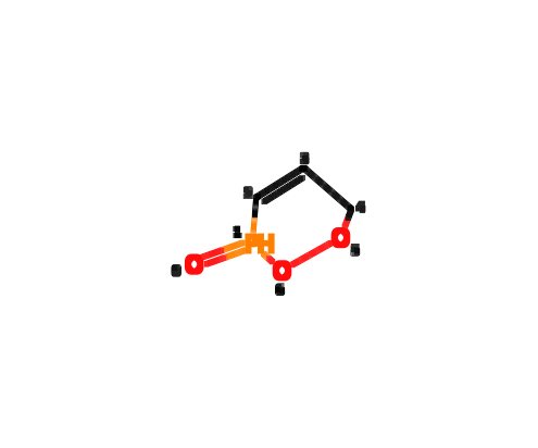 O=[PH]1C=CCOO1